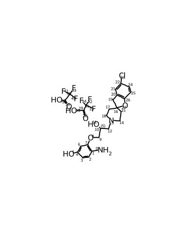 Nc1ccc(O)cc1OC[C@@H](O)CN1CCC2(CC1)Cc1cc(Cl)ccc1O2.O=C(O)C(F)(F)F.O=C(O)C(F)(F)F